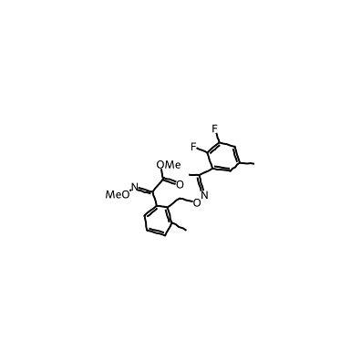 CO/N=C(/C(=O)OC)c1cccc(C)c1CO/N=C(\C)c1cc(C)cc(F)c1F